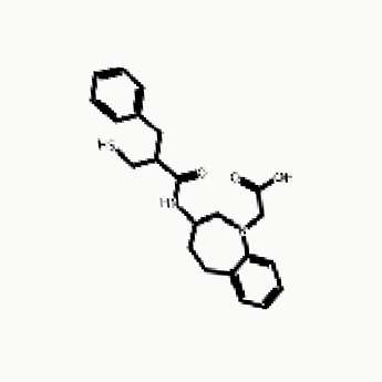 O=C(O)CN1CC(NC(=O)C(CS)Cc2ccccc2)CCc2ccccc21